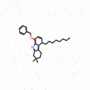 CCCCCCCCC1C=CC(OCc2ccccc2)=C2N=C3CC(C)(C)CCC3=C21